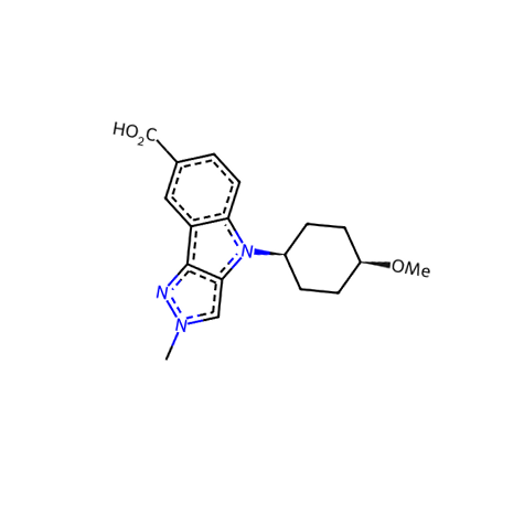 CO[C@H]1CC[C@@H](n2c3ccc(C(=O)O)cc3c3nn(C)cc32)CC1